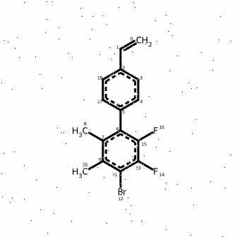 C=Cc1ccc(-c2c(C)c(C)c(Br)c(F)c2F)cc1